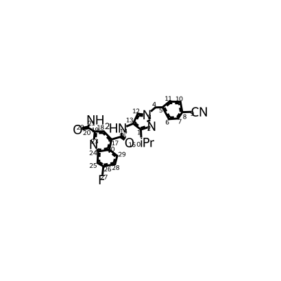 CC(C)c1nn(Cc2ccc(C#N)cc2)cc1NC(=O)c1cc(C(N)=O)nc2cc(F)ccc12